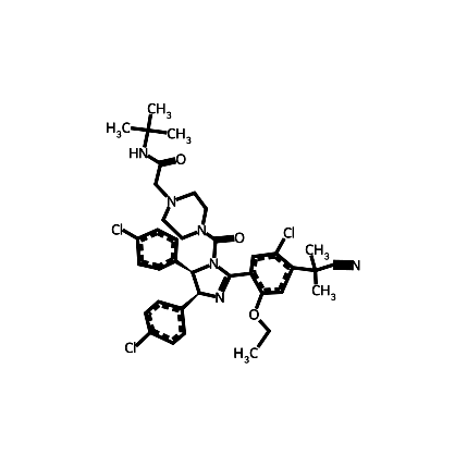 CCOc1cc(C(C)(C)C#N)c(Cl)cc1C1=N[C@@H](c2ccc(Cl)cc2)[C@@H](c2ccc(Cl)cc2)N1C(=O)N1CCN(CC(=O)NC(C)(C)C)CC1